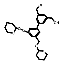 OCc1cc(CO)cc(-c2cc(COC3CCCCO3)cc(COC3CCCCO3)c2)c1